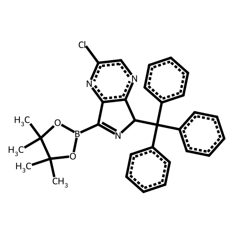 CC1(C)OB(C2=NC(C(c3ccccc3)(c3ccccc3)c3ccccc3)c3ncc(Cl)nc32)OC1(C)C